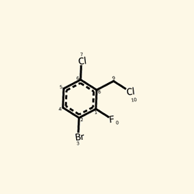 Fc1c(Br)ccc(Cl)c1CCl